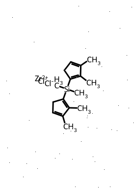 CC1=CCC([Si](C)(C)C2=C(C)C(C)=CC2)=C1C.[Cl-].[Cl-].[Zr+2]